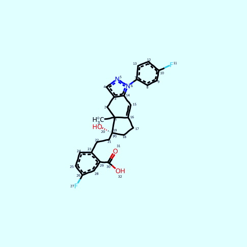 CC12Cc3cnn(-c4ccc(F)cc4)c3C=C1CC[C@@]2(O)CCc1ccc(F)cc1C(=O)O